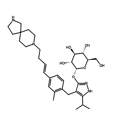 Cc1cc(/C=C/CCN2CCC3(CCNC3)CC2)ccc1Cc1c(O[C@H]2O[C@H](CO)[C@@H](O)[C@H](O)[C@H]2O)n[nH]c1C(C)C